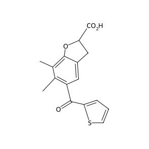 Cc1c(C(=O)c2cccs2)cc2c(c1C)OC(C(=O)O)C2